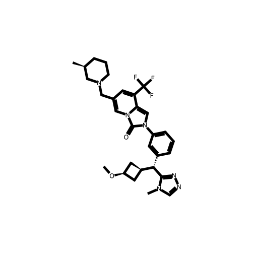 CO[C@H]1C[C@@H]([C@H](c2cccc(-n3cc4c(C(F)(F)F)cc(CN5CCC[C@H](C)C5)cn4c3=O)c2)c2nncn2C)C1